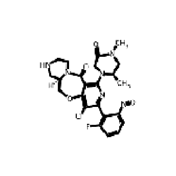 CC1CN(C)C(=O)CN1c1nc(-c2c(F)cccc2N=O)c(Cl)c2c1C(=O)N1CCNC[C@@H]1CO2